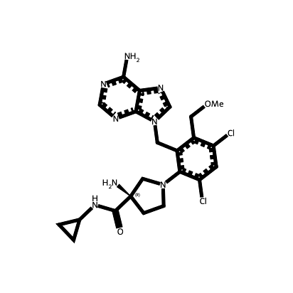 COCc1c(Cl)cc(Cl)c(N2CC[C@](N)(C(=O)NC3CC3)C2)c1Cn1cnc2c(N)ncnc21